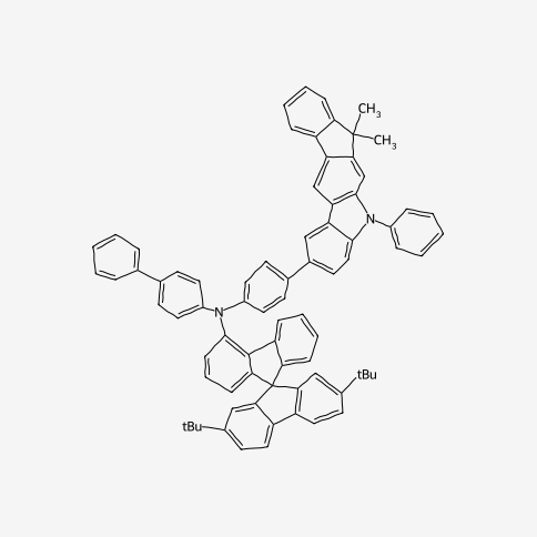 CC(C)(C)c1ccc2c(c1)C1(c3cc(C(C)(C)C)ccc3-2)c2ccccc2-c2c(N(c3ccc(-c4ccccc4)cc3)c3ccc(-c4ccc5c(c4)c4cc6c(cc4n5-c4ccccc4)C(C)(C)c4ccccc4-6)cc3)cccc21